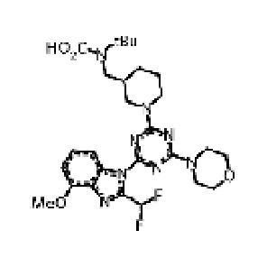 COc1cccc2c1nc(C(F)F)n2-c1nc(N2CCOCC2)nc(N2CCCC(CN(C(=O)O)C(C)(C)C)C2)n1